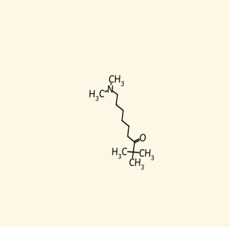 CN(C)CCCCCCC(=O)C(C)(C)C